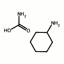 NC(=O)O.NC1CCCCC1